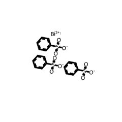 O=S(=O)([O-])c1ccccc1.O=S(=O)([O-])c1ccccc1.O=S(=O)([O-])c1ccccc1.[Bi+3]